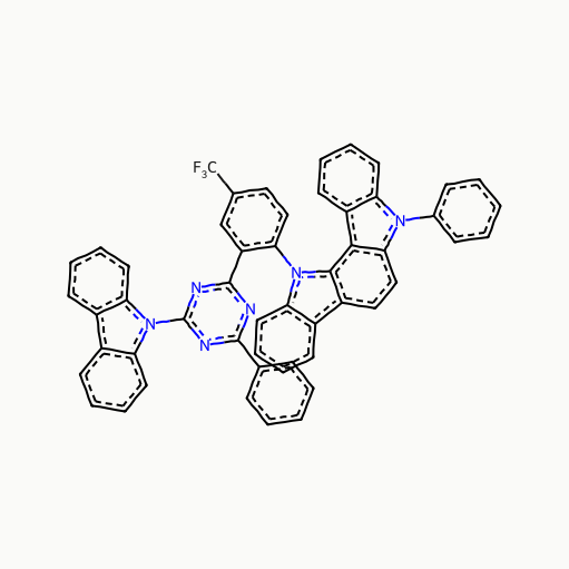 FC(F)(F)c1ccc(-n2c3ccccc3c3ccc4c(c5ccccc5n4-c4ccccc4)c32)c(-c2nc(-c3ccccc3)nc(-n3c4ccccc4c4ccccc43)n2)c1